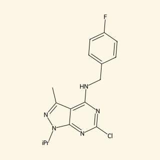 Cc1nn(C(C)C)c2nc(Cl)nc(NCc3ccc(F)cc3)c12